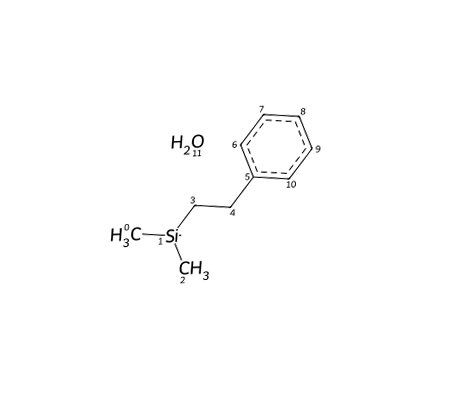 C[Si](C)CCc1ccccc1.O